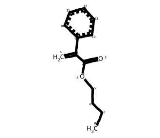 C=C(C(=O)OCCCC)c1ccccc1